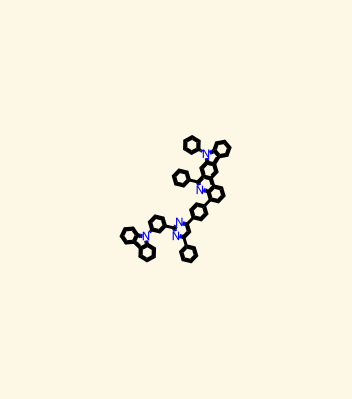 c1ccc(-c2cc(-c3ccc(-c4cccc5c4nc(-c4ccccc4)c4cc6c(cc45)c4ccccc4n6-c4ccccc4)cc3)nc(-c3cccc(-n4c5ccccc5c5ccccc54)c3)n2)cc1